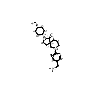 CCc1cnc(N2CCCC3(CCN([C@H]4CC[C@@H](O)CC4)C3=O)C2)nc1